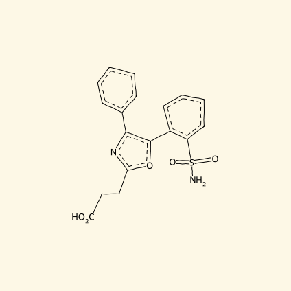 NS(=O)(=O)c1ccccc1-c1oc(CCC(=O)O)nc1-c1ccccc1